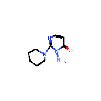 Nn1c(N2CCCCC2)nccc1=O